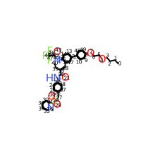 CCCCOCCOc1ccc(-c2ccc3c(c2)C=C(C(=O)Nc2ccc(CS(=O)(=O)c4ccccn4)cc2)CCN3C(=O)C(F)(F)F)cc1